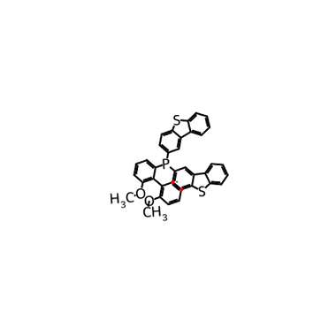 COc1ccc[c]c1-c1c(OC)cccc1P(c1ccc2sc3ccccc3c2c1)c1ccc2sc3ccccc3c2c1